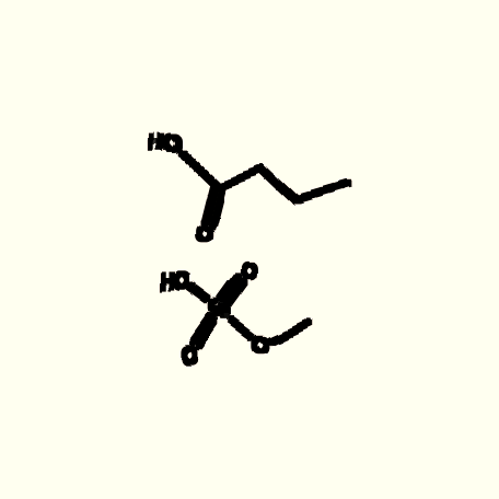 CCCC(=O)O.CO[Se](=O)(=O)O